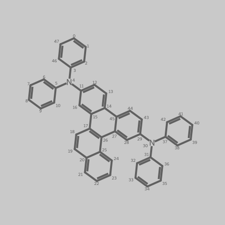 c1ccc(N(c2ccccc2)c2ccc3c(c2)c2ccc4ccccc4c2c2cc(N(c4ccccc4)c4ccccc4)ccc32)cc1